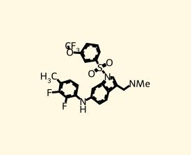 CNCc1cn(S(=O)(=O)c2cccc(OC(F)(F)F)c2)c2cc(Nc3ccc(C)c(F)c3F)ccc12